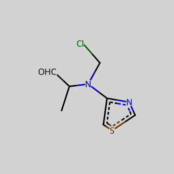 CC(C=O)N(CCl)c1cscn1